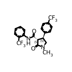 CN1C[C@H](c2ccc(C(F)(F)F)cc2)[C@@H](C(=O)Nc2ccccc2C(F)(F)F)C1=O